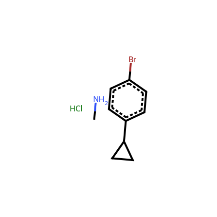 Brc1ccc(C2CC2)cc1.CN.Cl